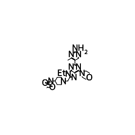 CCn1c(CN2CCC(N(C)S(C)(=O)=O)CC2)nc2c(N3CCOCC3)nc(-c3cnc(N)nc3C)nc21